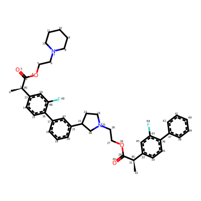 C[C@@H](C(=O)OCCN1CCCCC1)c1ccc(-c2cccc(C3CCN(CCOC(=O)[C@H](C)c4ccc(-c5ccccc5)c(F)c4)C3)c2)c(F)c1